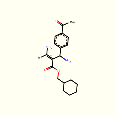 CC/C(N)=C(\C(=O)OCC1CCCCC1)C(N)c1ccc(C(=O)OC)cc1